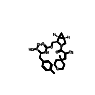 Cc1ccc(C[C@H](NC(=O)OC[C@H]2[C@H]3C[C@H]3CN2C(=O)/C(C#N)=C\C2(C)CCOCC2)B(O)O)cc1